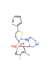 Cc1c(F)cccc1C1CNCC[N+]1N1SC(c2ccccc2)CCC1(O)O